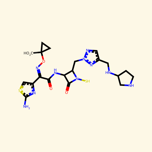 Nc1nc(/C(=N/OC2(C(=O)O)CC2)C(=O)NC2C(=O)N(S)C2Cn2ncc(CNC3CCNC3)n2)cs1